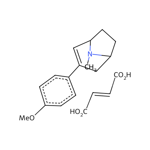 COc1ccc(C2=CC3CCC(C2)N3C)cc1.O=C(O)C=CC(=O)O